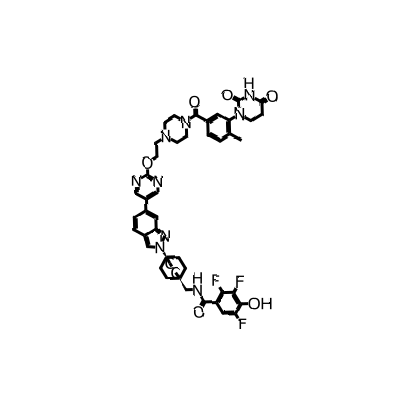 Cc1ccc(C(=O)N2CCN(CCOc3ncc(-c4ccc5cn([C@]67CC[C@](CNC(=O)c8cc(F)c(O)c(F)c8F)(CC6)CC7)nc5c4)cn3)CC2)cc1N1CCC(=O)NC1=O